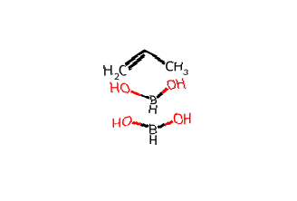 C=CC.OBO.OBO